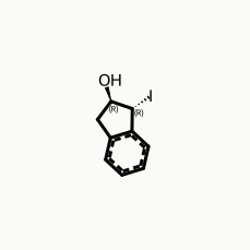 O[C@@H]1Cc2ccccc2[C@H]1I